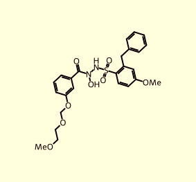 COCCOCOc1cccc(C(=O)N(O)NS(=O)(=O)c2ccc(OC)cc2Cc2ccccc2)c1